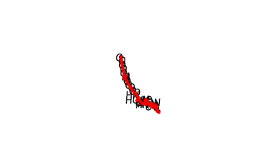 CCC(C)c1ccc(C(C#N)=C2CCN(C(=O)C(=O)c3c[nH]c4c(-n5cnc(C(=O)N[C@H](CO)CCCNC(=O)CCOCCOCCOCCOCc6cn(CCOCCOCCOCCOCCC(C)=O)nn6)n5)ncc(OC)c34)CC2)cc1